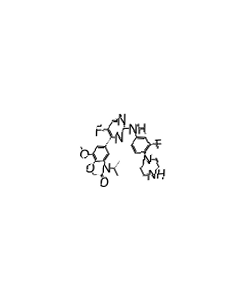 COc1cc(-c2nc(Nc3ccc(N4CCNCC4)c(F)c3)ncc2F)cc2c1OCC(=O)N2C(C)C